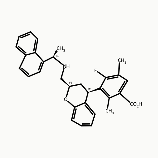 Cc1cc(C(=O)O)c(C)c([C@@H]2C[C@H](CN[C@H](C)c3cccc4ccccc34)Oc3ccccc32)c1F